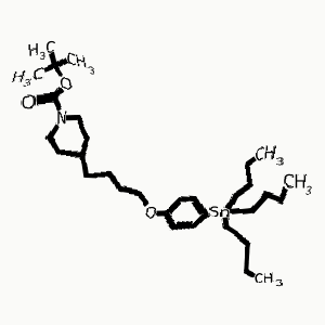 CCC[CH2][Sn]([CH2]CCC)([CH2]CCC)[c]1ccc(OCCCCC2CCN(C(=O)OC(C)(C)C)CC2)cc1